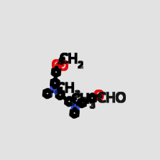 C=CC(=O)Oc1ccc(-c2ccc(N(c3ccccc3)c3ccc(-c4ccc(N(c5ccccc5)c5ccc(-c6ccc(OC=O)cc6)cc5)c(C)c4)cc3C)cc2)cc1